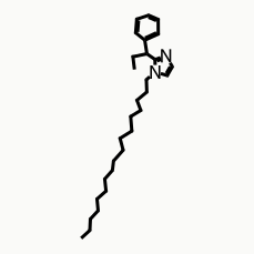 CCCCCCCCCCCCCCCCCn1ccnc1C(CC)c1ccccc1